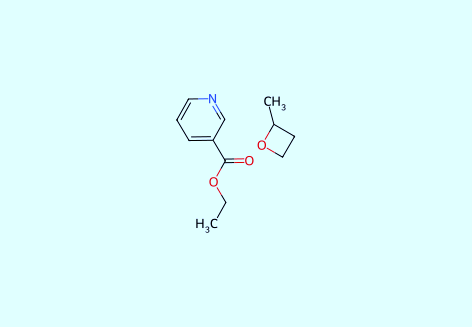 CC1CCO1.CCOC(=O)c1cccnc1